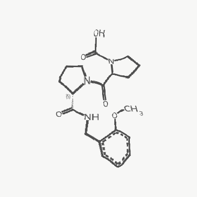 COc1ccccc1CNC(=O)[C@@H]1CCCN1C(=O)C1CCCN1C(=O)O